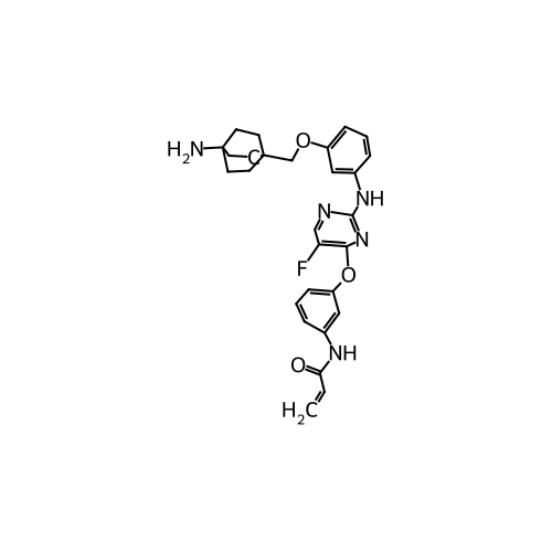 C=CC(=O)Nc1cccc(Oc2nc(Nc3cccc(OCC45CCC(N)(CC4)CC5)c3)ncc2F)c1